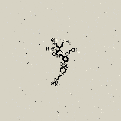 CCCOc1ccc(S(=O)(=O)N2CCN(CCCO[N+](=O)[O-])CC2)cc1-c1nc2c(CCC)c(C=NO)n(C)c2c(=O)[nH]1